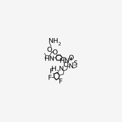 CC(C)C(Nc1ccc(CNC(=O)[C@@H]2SCCN2C(=O)CC(N)Cc2cc(F)c(F)cc2F)cc1)C(=O)OCCN